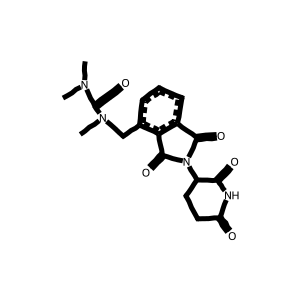 CN(C)C(=O)N(C)Cc1cccc2c1C(=O)N(C1CCC(=O)NC1=O)C2=O